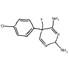 NC1=NC(N)N=CC1(F)c1ccc(Cl)cc1